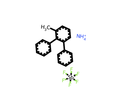 Cc1cccc(-c2ccccc2)c1-c1ccccc1.[F][Sb-]([F])([F])([F])([F])[F].[NH4+]